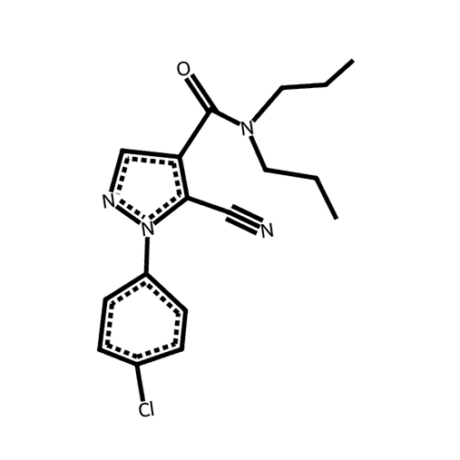 CCCN(CCC)C(=O)c1cnn(-c2ccc(Cl)cc2)c1C#N